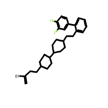 C=C(CC)CCC1CCC(C2CCC(CCc3ccccc3-c3ccc(F)c(F)c3)CC2)CC1